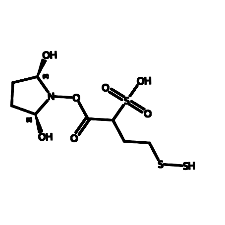 O=C(ON1[C@H](O)CC[C@@H]1O)C(CCSS)S(=O)(=O)O